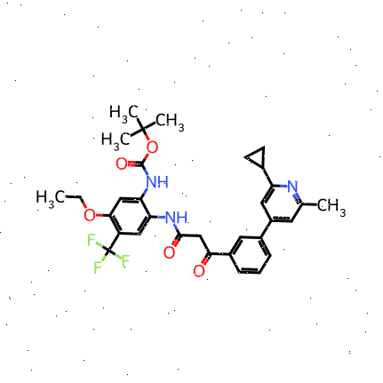 CCOc1cc(NC(=O)OC(C)(C)C)c(NC(=O)CC(=O)c2cccc(-c3cc(C)nc(C4CC4)c3)c2)cc1C(F)(F)F